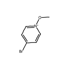 CO[n+]1ccc(Br)cc1